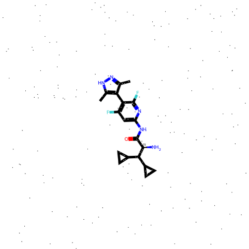 Cc1n[nH]c(C)c1-c1c(F)cc(NC(=O)[C@@H](N)C(C2CC2)C2CC2)nc1F